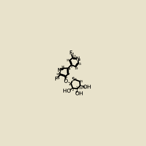 O[C@@H]1[C@@H](O)[C@H](Oc2cc(-c3ccnc(F)c3)cnc2F)SC[C@H]1O